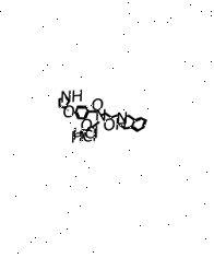 Cl.Cl.O=C1c2ccc(O[C@@H]3CCNC3)cc2OCCN1C[C@H](O)CN1CCc2ccccc2C1